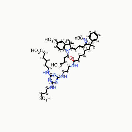 CCCC[N+]1=C(/C=C/C=C2/N(CCCS(=O)(=O)O)c3ccc(S(=O)(=O)O)cc3C2(C)C)C(C)(CCCCCC(=O)NCCCNc2nc(NCCCCCC(=O)O)nc(NCCCS(=O)(=O)O)n2)c2ccccc21